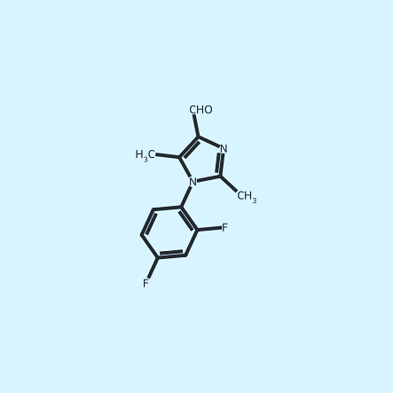 Cc1nc(C=O)c(C)n1-c1ccc(F)cc1F